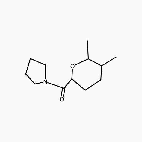 CC1CCC(C(=O)N2CCCC2)OC1C